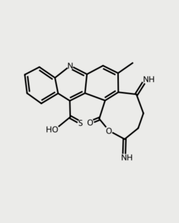 Cc1cc2nc3ccccc3c(C(O)=S)c2c2c1C(=N)CCC(=N)OC2=O